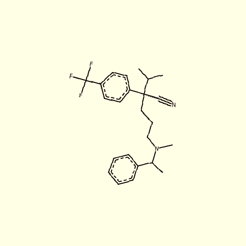 CC(c1ccccc1)N(C)CCCC(C#N)(c1ccc(C(F)(F)F)cc1)C(C)C